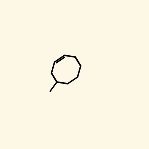 CC1CC=CCCCC1